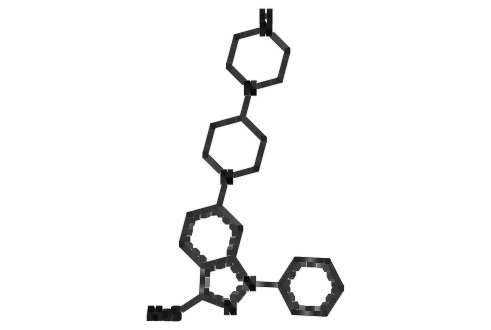 CSc1nn(-c2ccccc2)c2cc(N3CCC(N4CCNCC4)CC3)ccc12